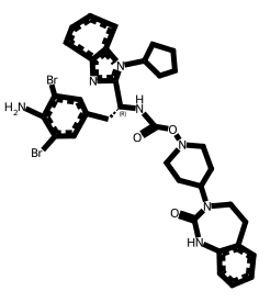 Nc1c(Br)cc(C[C@@H](NC(=O)ON2CCC(N3CCc4ccccc4NC3=O)CC2)c2nc3ccccc3n2C2CCCC2)cc1Br